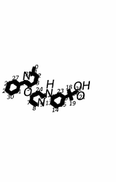 Cc1ccc(Oc2ccnc(Nc3cccc(C(C)(C)C(=O)O)c3)c2)c(-c2ccccc2)n1